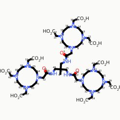 CC(CNC(=O)CN1CCN(CC(=O)O)CCN(CC(=O)O)CCN(CC(=O)O)CC1)(CNC(=O)CN1CCN(CC(=O)O)CCN(CC(=O)O)CCN(CC(=O)O)CC1)CNC(=O)CN1CCN(CC(=O)O)CCN(CC(=O)O)CCN(CC(=O)O)CC1